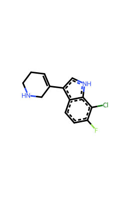 Fc1ccc2c(C3=CCCNC3)c[nH]c2c1Cl